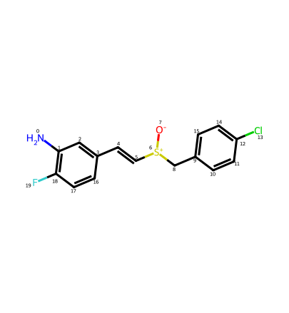 Nc1cc(C=C[S+]([O-])Cc2ccc(Cl)cc2)ccc1F